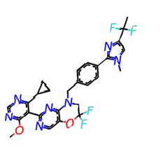 COc1ncnc(C2CC2)c1-c1ncc2c(n1)N(Cc1ccc(-c3nc(C(C)(F)F)cn3C)cc1)CC(F)(F)O2